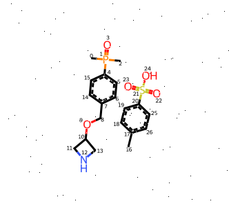 CP(C)(=O)c1ccc(COC2CNC2)cc1.Cc1ccc(S(=O)(=O)O)cc1